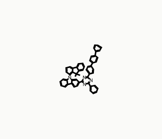 CC1(C)c2ccccc2-c2cccc(-n3c4ccccc4c4ccc(-c5nc(-c6ccccc6)nc(-c6ccc(-c7ccc(-c8ccccc8)cc7)cc6)n5)cc43)c21